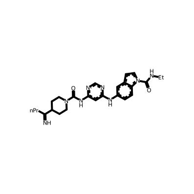 CCCC(=N)C1CCN(C(=O)Nc2cc(Nc3ccc4c(ccn4C(=O)NCC)c3)ncn2)CC1